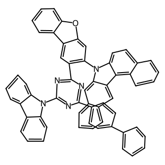 c1ccc(-c2ccc(-c3nc(-c4cc5c(cc4-n4c6cc7ccccc7cc6c6c7ccccc7ccc64)oc4ccccc45)nc(-n4c5ccccc5c5ccccc54)n3)cc2)cc1